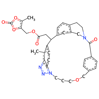 Cc1oc(=O)oc1COC(=O)CC1c2ccc3c(c2)CN(CC3)C(=O)c2ccc(cc2)COCCCn2nnc3c(C)c1ccc32